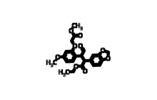 CCOC(=O)C(c1ccc2c(c1)OCO2)C(C=O)c1ccc(OC)cc1OCC(=O)OC